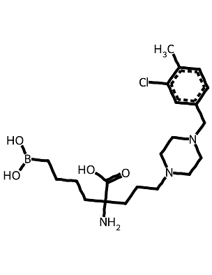 Cc1ccc(CN2CCN(CCCC(N)(CCCCB(O)O)C(=O)O)CC2)cc1Cl